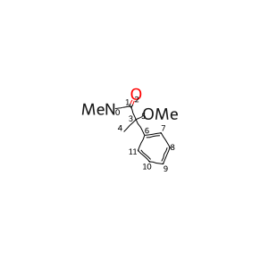 CNC(=O)C(C)(OC)c1ccccc1